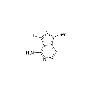 CC(C)c1nc(I)c2c(N)nccn12